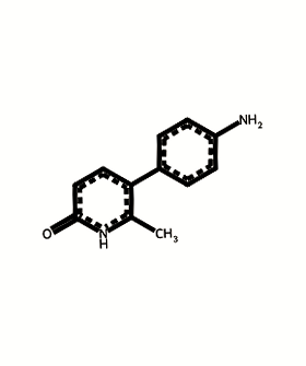 Cc1[nH]c(=O)ccc1-c1ccc(N)cc1